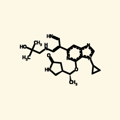 C[C@@H](Oc1nc(/C(C=N)=C/NCC(C)(C)O)cc2ncn(C3CC3)c12)[C@H]1CNC(=O)C1